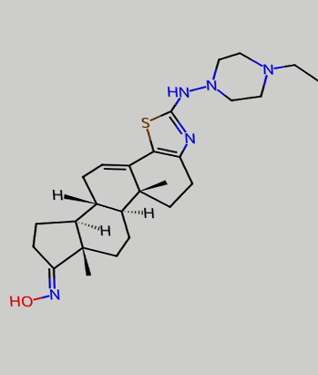 CCN1CCN(Nc2nc3c(s2)C2=CC[C@@H]4[C@H](CC[C@]5(C)/C(=N/O)CC[C@@H]45)[C@@]2(C)CC3)CC1